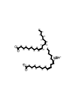 CCCCC/C=C\C/C=C\CCCCCCCC(=O)[O-].CCCCC/C=C\C/C=C\CCCCCCCC(=O)[O-].[Na+].[Na+]